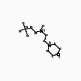 CN(CCN1CCOCC1)CCC(C)(C)C